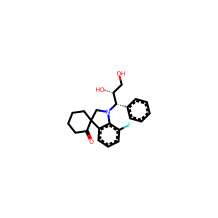 O=C1CCCCC12CN([C@@H](c1ccccc1)[C@H](O)CO)c1c(F)cccc12